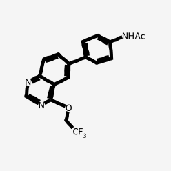 CC(=O)Nc1ccc(-c2ccc3ncnc(OCC(F)(F)F)c3c2)cc1